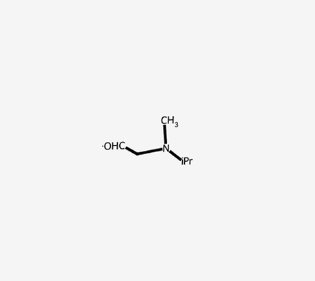 CC(C)N(C)C[C]=O